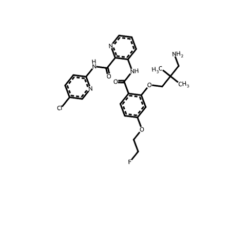 CC(C)(CN)COc1cc(OCCF)ccc1C(=O)Nc1cccnc1C(=O)Nc1ccc(Cl)cn1